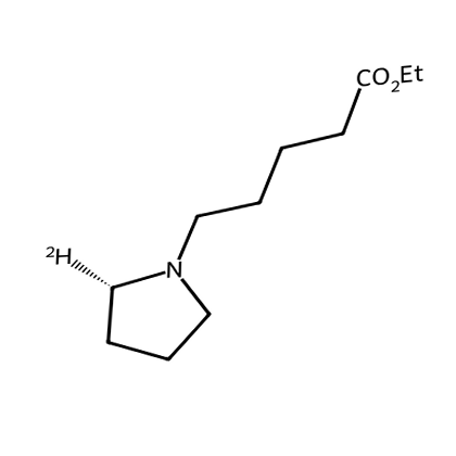 [2H][C@H]1CCCN1CCCCC(=O)OCC